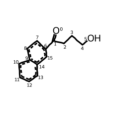 O=C(CCCO)c1ccc2ccccc2c1